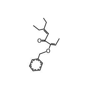 C/C=C(/OCc1ccccc1)C(=O)C=C(CC)CC